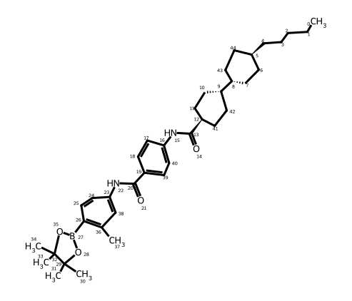 CCCCC[C@H]1CC[C@H]([C@H]2CC[C@H](C(=O)Nc3ccc(C(=O)Nc4ccc(B5OC(C)(C)C(C)(C)O5)c(C)c4)cc3)CC2)CC1